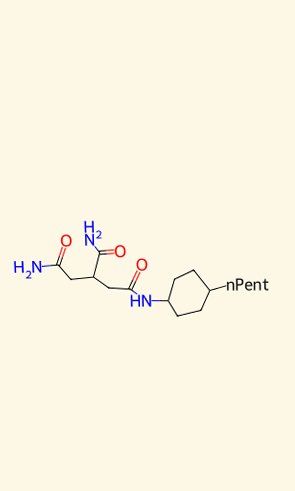 CCCCCC1CCC(NC(=O)CC(CC(N)=O)C(N)=O)CC1